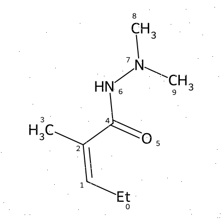 CCC=C(C)C(=O)NN(C)C